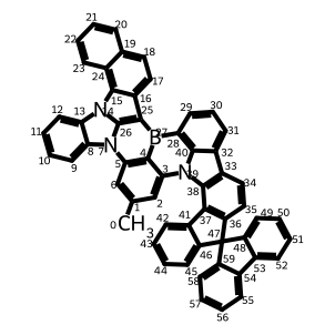 Cc1cc2c3c(c1)-n1c4ccccc4n4c5c(ccc6ccccc65)c(c14)B3c1cccc3c4ccc5c(c4n-2c13)-c1ccccc1C51c2ccccc2-c2ccccc21